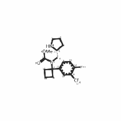 COC(=O)N(C[C@H]1CCCN1)C1(c2ccc(F)c(C(F)(F)F)c2)CCC1